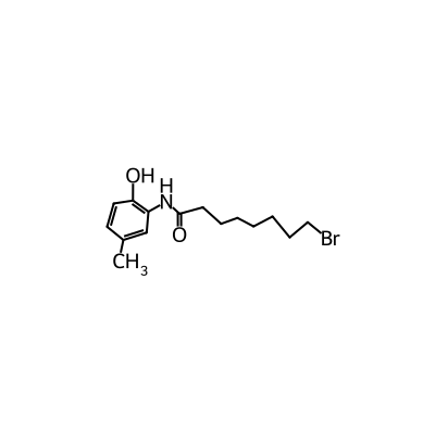 Cc1ccc(O)c(NC(=O)CCCCCCCBr)c1